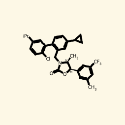 Cc1cc([C@H]2OC(=O)N(Cc3cc(C4CC4)ccc3-c3cc(C(C)C)ccc3Cl)[C@H]2C)cc(C(F)(F)F)c1